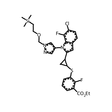 CCOC(=O)c1cccc(SC2CC2c2cc3ccc(Cl)c(F)c3n2-c2cnn(COCC[Si](C)(C)C)c2)c1F